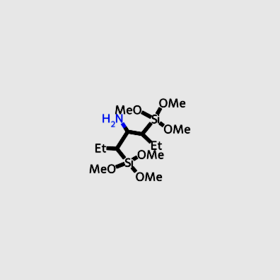 CCC(C(N)C(CC)[Si](OC)(OC)OC)[Si](OC)(OC)OC